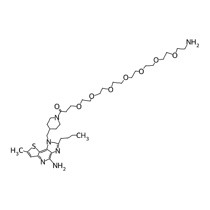 CCCCc1nc2c(N)nc3cc(C)sc3c2n1CC1CCN(C(=O)CCOCCOCCOCCOCCOCCOCCOCCN)CC1